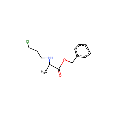 CC(NCCCCl)C(=O)OCc1ccccc1